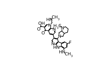 CNCn1cc(C(=O)O)c(=O)c2cc(-c3cnc4[nH]c5c(NC)cc(F)cc5c4c3N3CC4CCCN(C)C4C3)cnc21